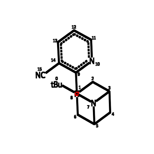 CC(C)(C)N1CC2CC(C1)N2Cc1ncccc1C#N